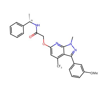 COc1cccc(-c2nn(C)c3nc(OCC(=O)N[C@@H](C)c4ccccc4)cc(C(F)(F)F)c23)c1